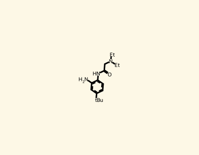 CCN(CC)CC(=O)Nc1ccc(C(C)(C)C)cc1N